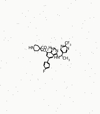 C[C@@H](Nc1ncnc2c(OCC3(C(=O)O)CCNCC3)cc(-c3ccc(F)cc3)cc12)c1cnc(C(F)(F)F)nc1